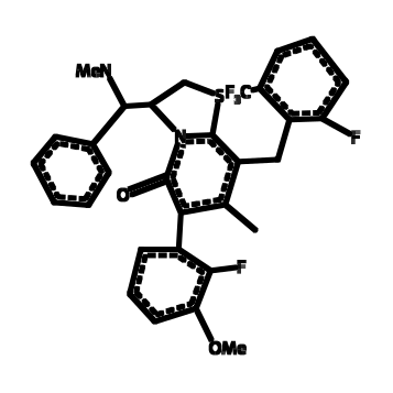 CNC(c1ccccc1)C1CSc2c(Cc3c(F)cccc3C(F)(F)F)c(C)c(-c3cccc(OC)c3F)c(=O)n21